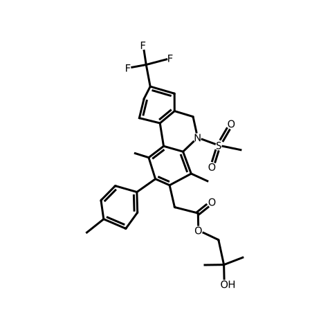 Cc1ccc(-c2c(C)c3c(c(C)c2CC(=O)OCC(C)(C)O)N(S(C)(=O)=O)Cc2cc(C(F)(F)F)ccc2-3)cc1